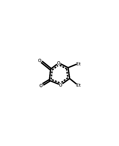 CCc1oc(=O)c(=O)oc1CC